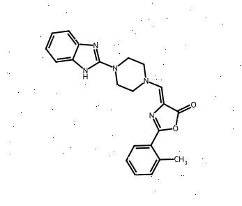 Cc1ccccc1C1=NC(=CN2CCN(c3nc4ccccc4[nH]3)CC2)C(=O)O1